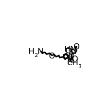 Cn1c(=O)n(C2CCC(=O)NC2=O)c2ccc(CCCCOCCCCN)cc21